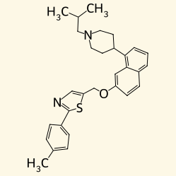 Cc1ccc(-c2ncc(COc3ccc4cccc(C5CCN(CC(C)C)CC5)c4c3)s2)cc1